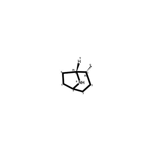 C[C@@H]1CCC2CC[C@H]1N2